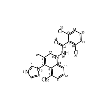 CC1=C(n2ccnc2)c2c(Cl)cccc2N(NC(=O)c2c(Cl)cccc2Cl)C1